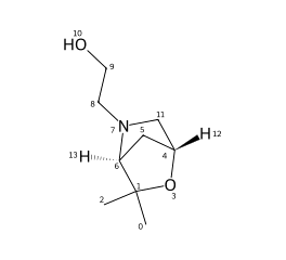 CC1(C)O[C@@H]2C[C@@H]1N(CCO)C2